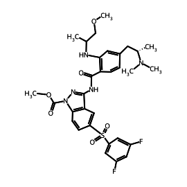 COCC(C)Nc1cc(C[C@H](C)N(C)C)ccc1C(=O)Nc1nn(C(=O)OC)c2ccc(S(=O)(=O)c3cc(F)cc(F)c3)cc12